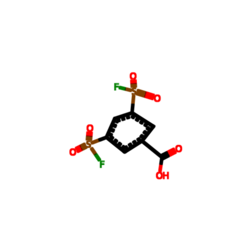 O=C(O)c1cc(S(=O)(=O)F)cc(S(=O)(=O)F)c1